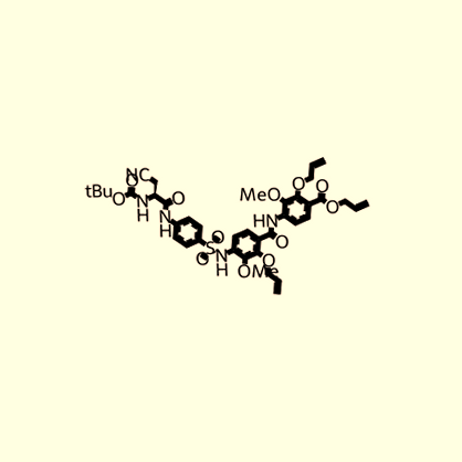 C=CCOC(=O)c1ccc(NC(=O)c2ccc(NS(=O)(=O)c3ccc(NC(=O)[C@H](CC#N)NC(=O)OC(C)(C)C)cc3)c(OC)c2OCC=C)c(OC)c1OCC=C